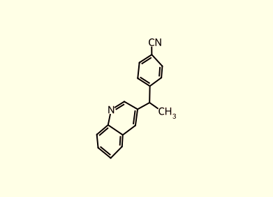 CC(c1ccc(C#N)cc1)c1cnc2ccccc2c1